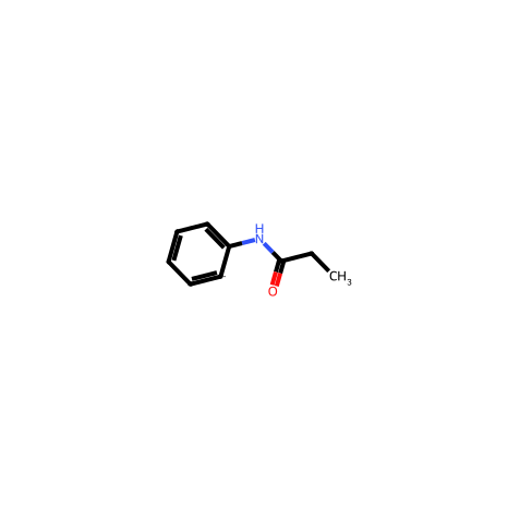 CCC(=O)Nc1[c]cccc1